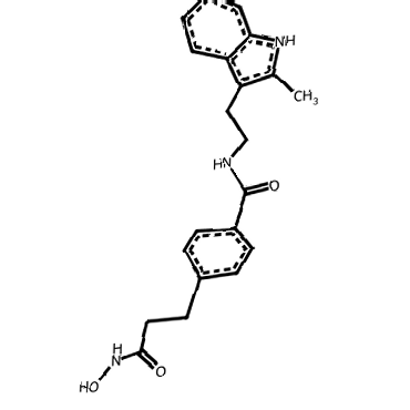 Cc1[nH]c2ccccc2c1CCNC(=O)c1ccc(CCC(=O)NO)cc1